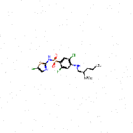 CNC(CCC(C)(C)C)CNc1cc(F)c(S(=O)(=O)Nc2ncc(F)s2)cc1Cl